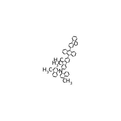 Cc1ccc(N(c2ccc3c(c2)C(C)(C)c2cc(-c4c5ccccc5c(-c5ccc6c(c5)oc5ccccc56)c5ccccc45)ccc2-3)c2ccc(C)c3ccccc23)c2ccccc12